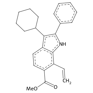 C=Cc1c(C(=O)OC)ccc2c(C3CCCCC3)c(-c3ccccc3)[nH]c12